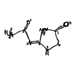 NC(=O)N=C1NCC(=O)N1